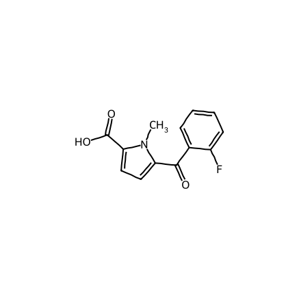 Cn1c(C(=O)O)ccc1C(=O)c1ccccc1F